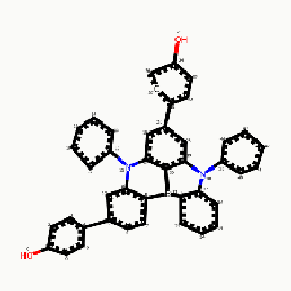 Oc1ccc(-c2ccc3c(c2)N(c2ccccc2)c2cc(-c4ccc(O)cc4)cc4c2B3c2ccccc2N4c2ccccc2)cc1